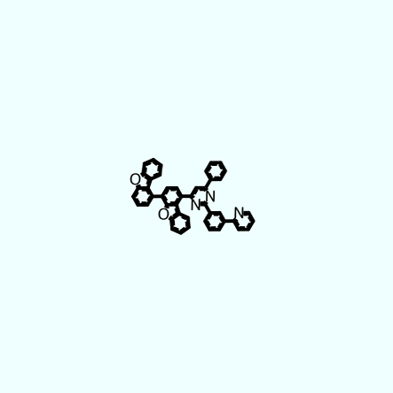 c1ccc(-c2cc(-c3ccc(-c4cccc5oc6ccccc6c45)c4oc5ccccc5c34)nc(-c3cccc(-c4ccccn4)c3)n2)cc1